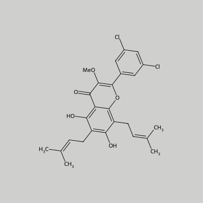 COc1c(-c2cc(Cl)cc(Cl)c2)oc2c(CC=C(C)C)c(O)c(CC=C(C)C)c(O)c2c1=O